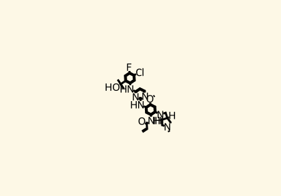 C=CC(=O)Nc1cc(Nc2nccc(Nc3cc(Cl)c(F)cc3C(C)(C)O)n2)c(OC)cc1N1C[C@@H]2CN(C)C[C@@H]21